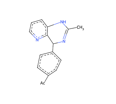 CC(=O)c1ccc(C2N=C(C)Nc3cccnc32)cc1